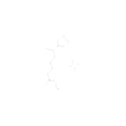 CCC(C)OC(=O)CCCC[N+](C)=c1sccs1.[O-][Cl+3]([O-])([O-])[O-]